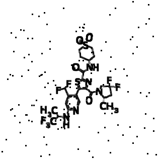 CC(Nc1cc(C(F)F)c(-c2sc(C(=O)NC3CCS(=O)(=O)CC3)nc2C(=O)N2CC(F)(F)C[C@@H]2C)cn1)C(F)(F)F